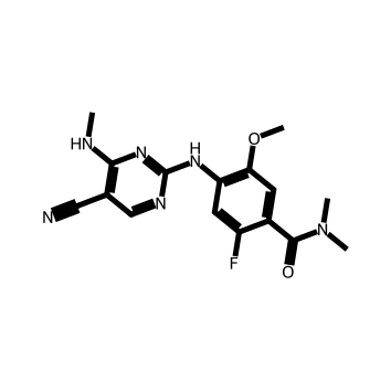 CNc1nc(Nc2cc(F)c(C(=O)N(C)C)cc2OC)ncc1C#N